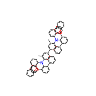 Cc1cc(-c2ccc(N(c3c(-c4ccccc4)cccc3-c3ccccc3)c3cccc4c3oc3ccccc34)c(C)c2)ccc1N(c1c(-c2ccccc2)cccc1-c1ccccc1)c1cccc2c1oc1ccccc12